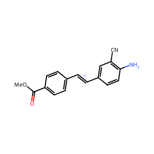 COC(=O)c1ccc(/C=C/c2ccc(N)c(C#N)c2)cc1